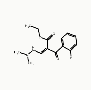 CCOC(=O)C(=CNN(C)C)C(=O)c1ccccc1F